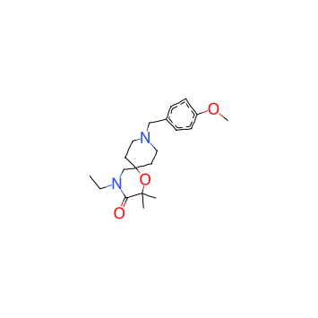 CCN1CC2(CCN(Cc3ccc(OC)cc3)CC2)OC(C)(C)C1=O